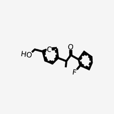 CC(C(=O)c1ccccc1F)c1ccc(CO)cc1